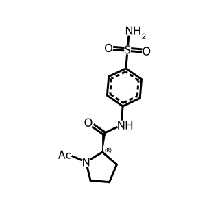 CC(=O)N1CCC[C@@H]1C(=O)Nc1ccc(S(N)(=O)=O)cc1